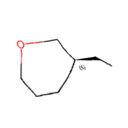 CC[C@H]1CCCOC1